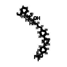 CCc1ccccc1NC(=S)NC(O)NCCCc1ccc(-c2ncn(-c3ccc(OC(F)(F)F)cc3)n2)cc1